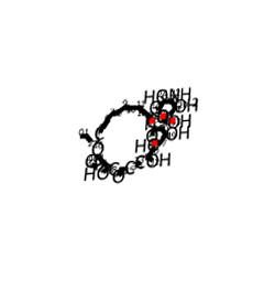 CCC[C@@H]1C/C=C/C=C/C=C/C=C/[C@H](O[C@@H]2O[C@H](C)[C@@H](O)[C@H](N)[C@@H]2O)C[C@@H]2O[C@](O)(CC(O)CCCC(=O)CC(O)[C@H](CC)C(=O)O1)C[C@H](O)[C@H]2C(=O)O